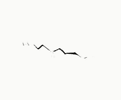 NCCNCCCS[SiH3]